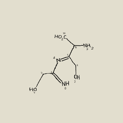 N=C(CO)N=C(CO)C(N)C(=O)O